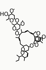 CCC(C)C1OC2(C=CC1C)CC1CC(C/C=C(\C)C(OC3CC(OC)C(OC4CC(OC)C(O)C(C)O4)C(C)O3)C(C)/C=C/C=C3\COC4C(O)C(C)=CC(C(=O)O1)C34O)O2